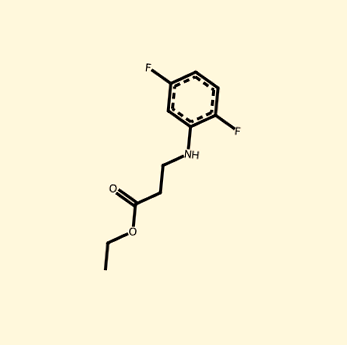 CCOC(=O)CCNc1cc(F)ccc1F